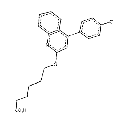 O=C(O)CCCCCOc1cc(-c2ccc(Cl)cc2)c2ccccc2n1